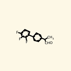 CC(C=O)c1ccc(-c2ccc(F)c(F)c2F)cc1